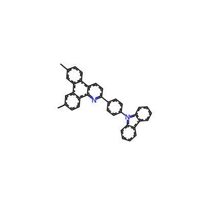 Cc1ccc2c(c1)c1cc(C)ccc1c1nc(-c3ccc(-n4c5ccccc5c5ccccc54)cc3)ccc21